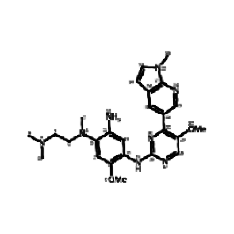 COc1cc(N(C)CCN(C)C)c(N)cc1Nc1ncc(OC)c(-c2cnc3c(ccn3C)c2)n1